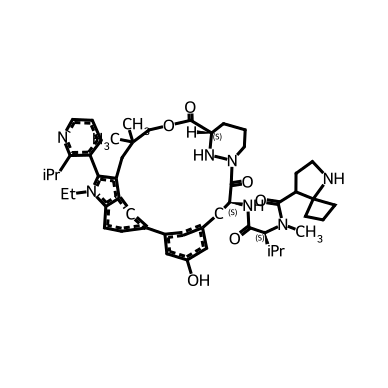 CCn1c(-c2cccnc2C(C)C)c2c3cc(ccc31)-c1cc(O)cc(c1)C[C@H](NC(=O)[C@H](C(C)C)N(C)C(=O)C1CCNC13CCC3)C(=O)N1CCC[C@H](N1)C(=O)OCC(C)(C)C2